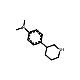 CN(C)c1ccc(C2CCCNC2)cc1